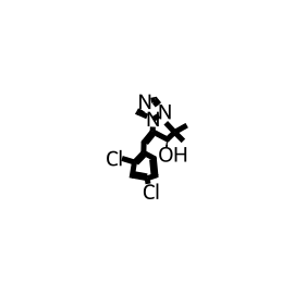 CC(C)(C)[C@H](O)/C(=C\c1ccc(Cl)cc1Cl)n1cncn1